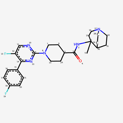 CC1(NC(=O)C2CCN(c3ncc(F)c(-c4ccc(F)cc4)n3)CC2)CCN2CCC1CC2